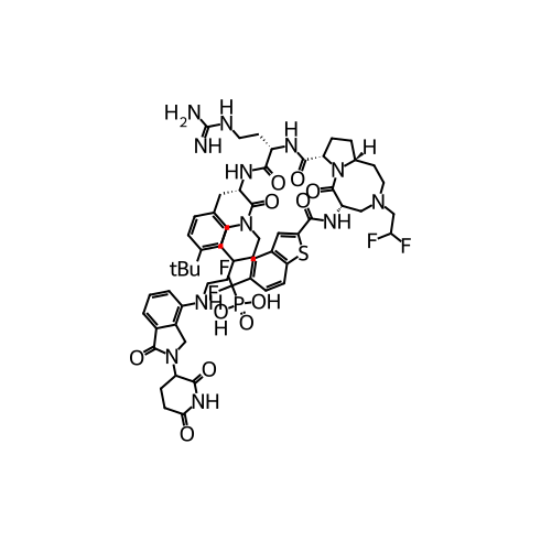 CC(C)(C)c1ccc(C[C@H](NC(=O)[C@H](CCNC(=N)N)NC(=O)[C@@H]2CC[C@@H]3CCN(CC(F)F)C[C@H](NC(=O)c4cc5cc(C(F)(F)P(=O)(O)O)ccc5s4)C(=O)N32)C(=O)N2CCC(CCNc3cccc4c3CN(C3CCC(=O)NC3=O)C4=O)CC2)cc1